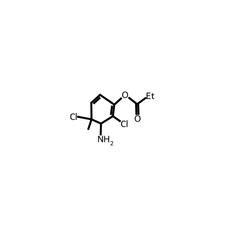 CCC(=O)OC1=C(Cl)C(N)C(C)(Cl)C=C1